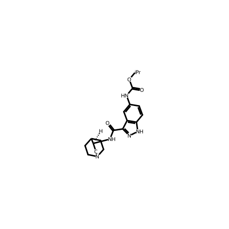 CC(C)OC(=O)Nc1ccc2[nH]nc(C(=O)N[C@H]3CN4CCC3CC4)c2c1